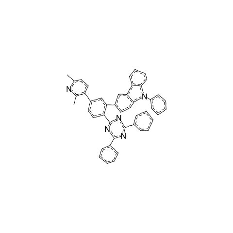 Cc1ccc(-c2ccc(-c3nc(-c4ccccc4)nc(-c4ccccc4)n3)c(-c3ccc4c(c3)c3ccccc3n4-c3ccccc3)c2)c(C)n1